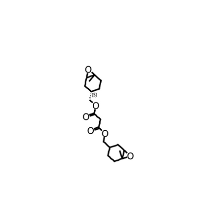 CC12CCC(COC(=O)CC(=O)OC[C@H]3CCC4(C)OC4C3)CC1O2